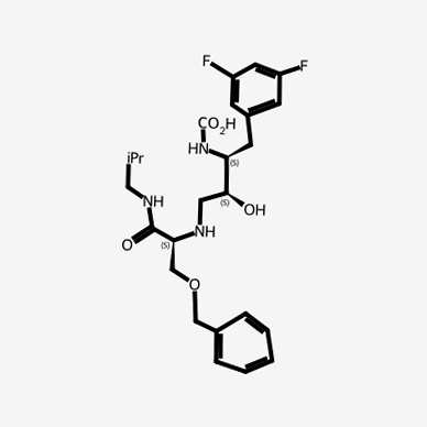 CC(C)CNC(=O)[C@H](COCc1ccccc1)NC[C@H](O)[C@H](Cc1cc(F)cc(F)c1)NC(=O)O